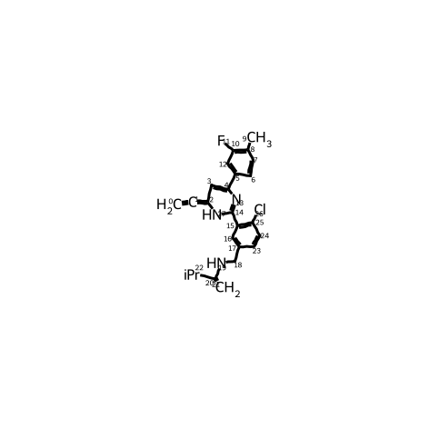 C=C=C1C=C(c2ccc(C)c(F)c2)N=C(c2cc(CNC(=C)C(C)C)ccc2Cl)N1